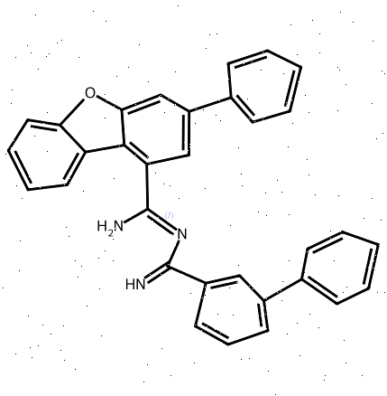 N=C(/N=C(\N)c1cc(-c2ccccc2)cc2oc3ccccc3c12)c1cccc(-c2ccccc2)c1